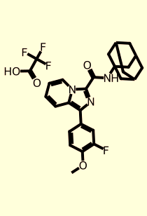 COc1ccc(-c2nc(C(=O)NC34CC5CC(CC(C5)C3)C4)n3ccccc23)cc1F.O=C(O)C(F)(F)F